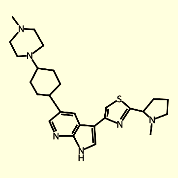 CN1CCN(C2CCC(c3cnc4[nH]cc(-c5csc(C6CCCN6C)n5)c4c3)CC2)CC1